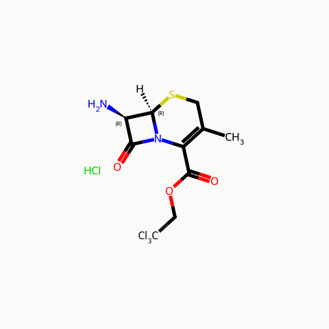 CC1=C(C(=O)OCC(Cl)(Cl)Cl)N2C(=O)[C@@H](N)[C@H]2SC1.Cl